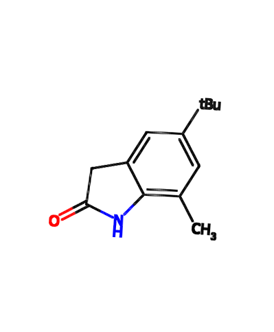 Cc1cc(C(C)(C)C)cc2c1NC(=O)C2